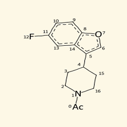 CC(=O)N1CCC(c2coc3ccc(F)cc23)CC1